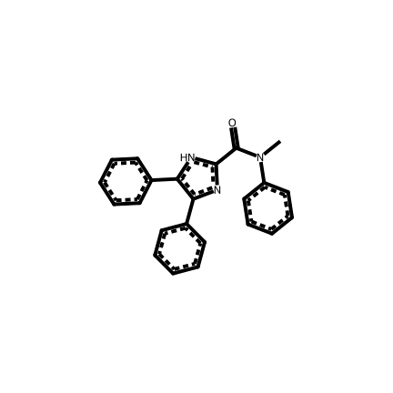 CN(C(=O)c1nc(-c2ccccc2)c(-c2ccccc2)[nH]1)c1ccccc1